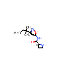 COCC(C)(C)c1cc(NC(=O)[C@@H]2CCN2)on1